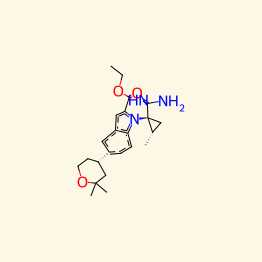 CCOC(=O)c1cc2cc([C@H]3CCOC(C)(C)C3)ccc2n1[C@@]1(C(=N)N)C[C@@H]1C